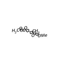 C=CC(=O)OCOC(=O)c1ccc(-c2ccc(C(=O)Oc3ccc(OC)cc3)c(C)c2)cc1